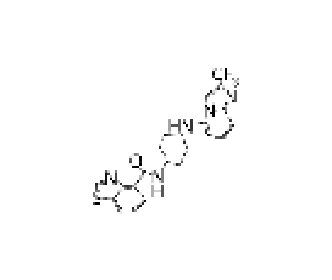 O=C(NC1CCC(Nc2cccc3nc(C(F)(F)F)cn23)CC1)c1cccc2scnc12